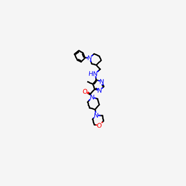 Cc1c(NCC2CCCN(c3ccccc3)C2)ncnc1C(=O)N1CCC(N2CCOCC2)CC1